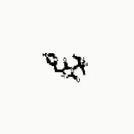 Cc1noc(C)c1N1C(=O)NC(Cc2c[nH]cn2)C1=O